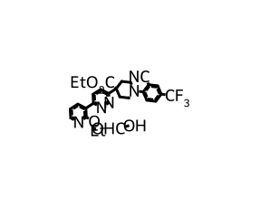 CCOC(=O)C1(c2ccc(-c3cccnc3OCC)nn2)CCN(c2ccc(C(F)(F)F)cc2C#N)CC1.O=CO